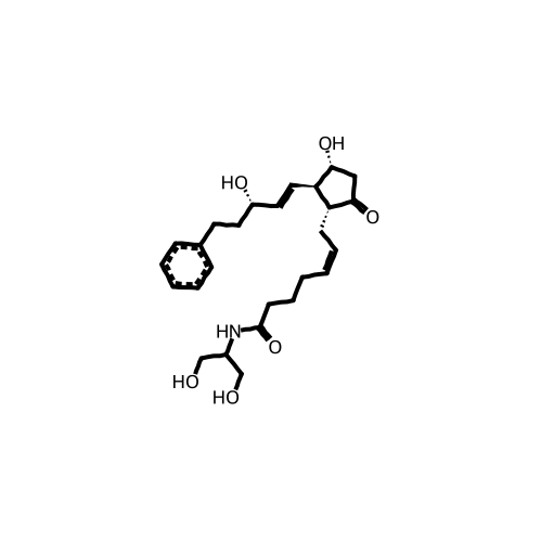 O=C(CCC/C=C\C[C@H]1C(=O)C[C@@H](O)[C@@H]1/C=C/[C@@H](O)CCc1ccccc1)NC(CO)CO